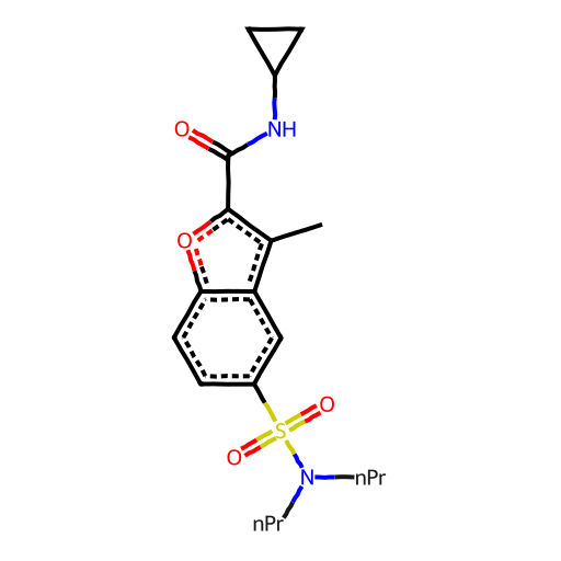 CCCN(CCC)S(=O)(=O)c1ccc2oc(C(=O)NC3CC3)c(C)c2c1